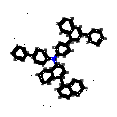 c1ccc(-c2ccc(N(c3ccc(-c4cc(-c5ccccc5)cc5ccccc45)cc3)c3ccc(-c4cccc5ccccc45)c4ccccc34)cc2)cc1